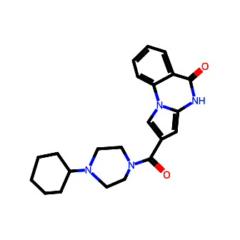 O=C(c1cc2[nH]c(=O)c3ccccc3n2c1)N1CCN(C2CCCCC2)CC1